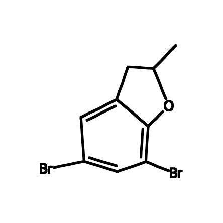 CC1Cc2cc(Br)cc(Br)c2O1